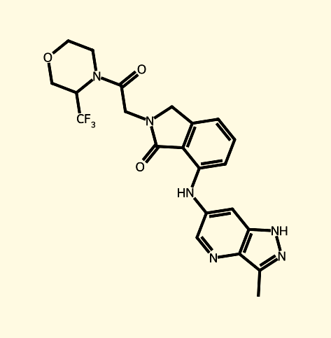 Cc1n[nH]c2cc(Nc3cccc4c3C(=O)N(CC(=O)N3CCOCC3C(F)(F)F)C4)cnc12